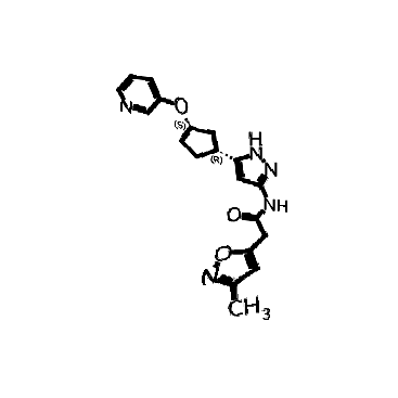 Cc1cc(CC(=O)Nc2cc([C@@H]3CC[C@H](Oc4cccnc4)C3)[nH]n2)on1